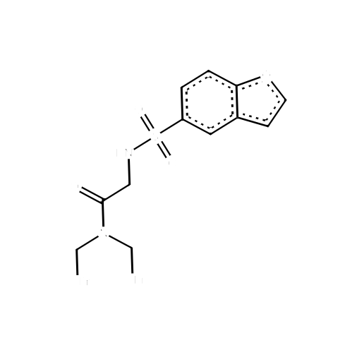 CC(C)CN(CC(C)C)C(=O)CNS(=O)(=O)c1ccc2occc2c1